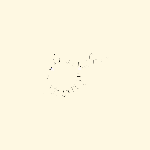 C=CCC1/C=C(/C)CC(C)CC(OC)C2OC(O)(C(=O)C(=O)N3CCCCC3C(=O)OC(/C(C)=C/C3CCC(OCSC)C(OC)C3)C(C)C(O)CC1=O)C(C)CC2OC